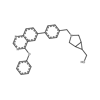 OCC1C2CN(Cc3ccc(-c4ccc5ncnc(Oc6ccccc6)c5c4)cc3)CC12